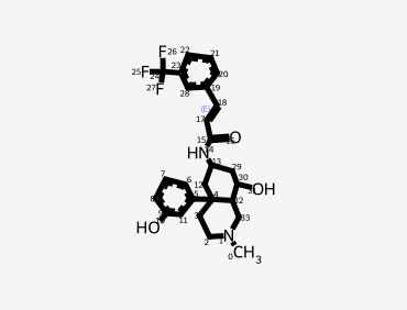 CN1CCC2(c3cccc(O)c3)CC(NC(=O)/C=C/c3cccc(C(F)(F)F)c3)CC(O)C2C1